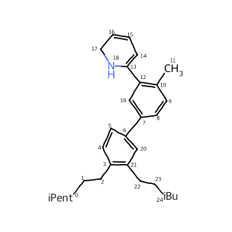 CCCC(C)CCc1ccc(-c2ccc(C)c(C3=CC=CCN3)c2)cc1CCC(C)CC